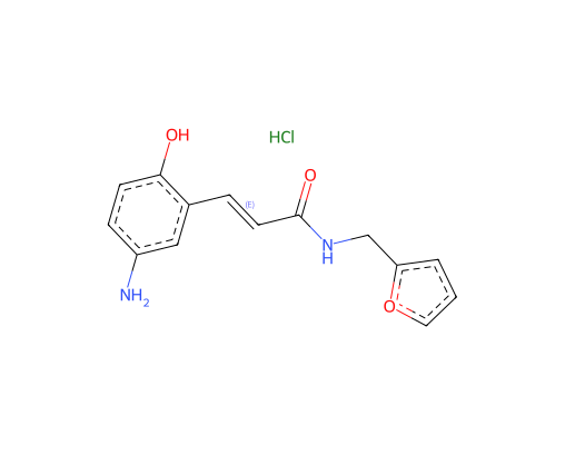 Cl.Nc1ccc(O)c(/C=C/C(=O)NCc2ccco2)c1